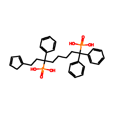 O=P(O)(O)C(CCCCC(c1ccccc1)(c1ccccc1)P(=O)(O)O)(CCC1=CC=CC1)c1ccccc1